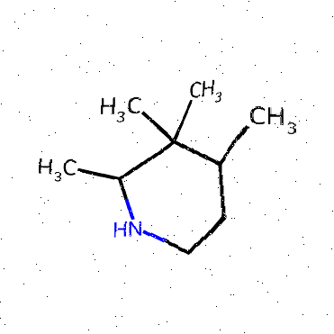 CC1CCNC(C)C1(C)C